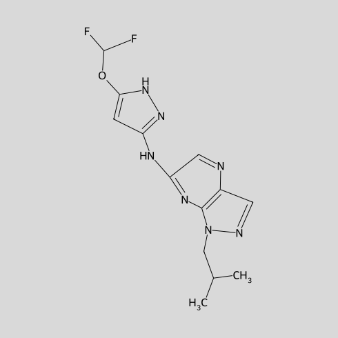 CC(C)Cn1ncc2ncc(Nc3cc(OC(F)F)[nH]n3)nc21